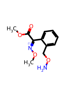 CO/N=C(/C(=O)OC)c1ccccc1CON